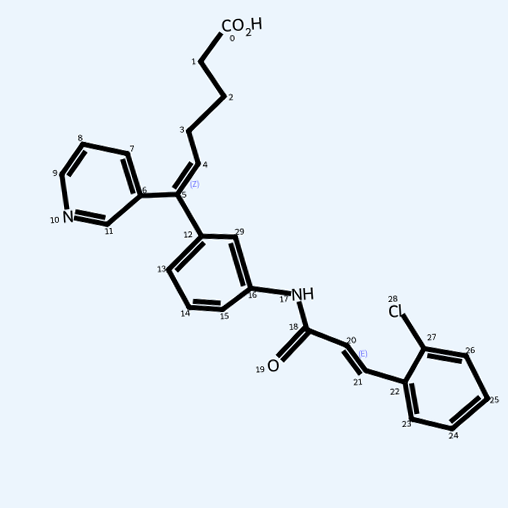 O=C(O)CCC/C=C(\c1cccnc1)c1cccc(NC(=O)/C=C/c2ccccc2Cl)c1